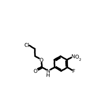 O=C(Nc1ccc([N+](=O)[O-])c(F)c1)OCCCl